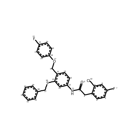 O=C(Cc1ccc(F)cc1Cl)Nc1ccc(COc2ccc(F)cc2)c(SCc2ccccc2)c1